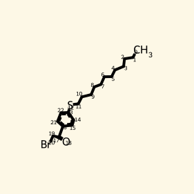 CCCCCCCCCCCCSc1ccc(C(=O)CBr)cc1